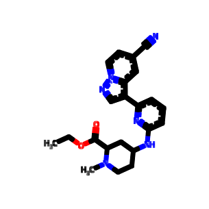 CCOC(=O)C1CC(Nc2cccc(-c3cnn4ccc(C#N)cc34)n2)CCN1C